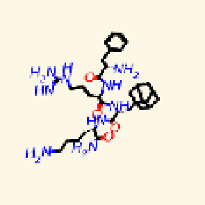 N=C(N)NCCC[C@@H](NC(=O)[C@@H](N)Cc1ccccc1)C(=O)N[C@H](CC12CC3CC(CC(C3)C1)C2)C(=O)N[C@@H](CCCCN)C(N)=O